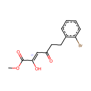 COC(=O)/C(O)=C/C(=O)CCc1ccccc1Br